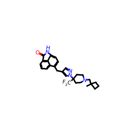 CC1(CN2CCC(n3cc(Cc4ccc5c6c(cccc46)C(=O)N5)cn3)(C(F)(F)F)CC2)CCC1